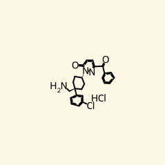 Cl.NC[C@]1(c2cccc(Cl)c2)CC[C@@H](n2nc(C(=O)c3ccccc3)ccc2=O)CC1